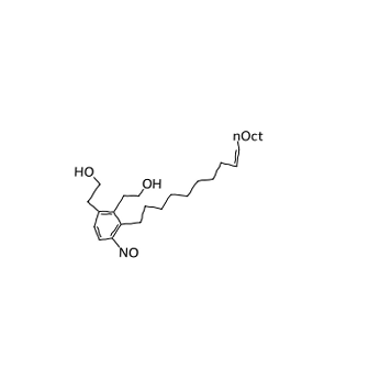 CCCCCCCC/C=C\CCCCCCCCc1c(N=O)ccc(CCO)c1CCO